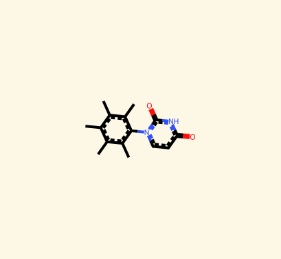 Cc1c(C)c(C)c(-n2ccc(=O)[nH]c2=O)c(C)c1C